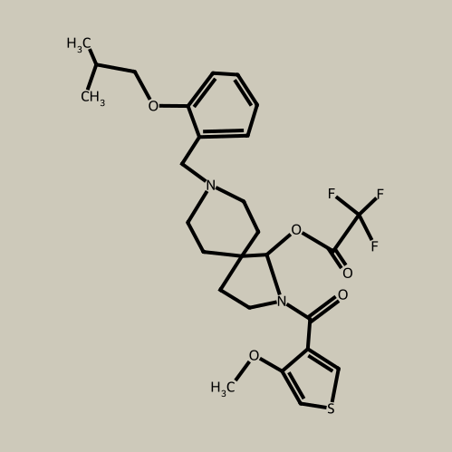 COc1cscc1C(=O)N1CCC2(CCN(Cc3ccccc3OCC(C)C)CC2)C1OC(=O)C(F)(F)F